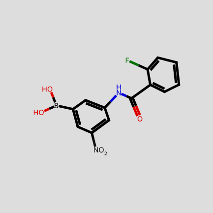 O=C(Nc1cc(B(O)O)cc([N+](=O)[O-])c1)c1ccccc1F